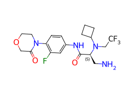 NC[C@@H](C(=O)Nc1ccc(N2CCOCC2=O)c(F)c1)N(CC(F)(F)F)C1CCC1